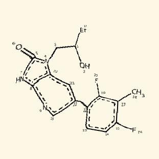 CCC(O)Cn1c(=O)[nH]c2ncc(-c3ccc(F)c(C)c3F)cc21